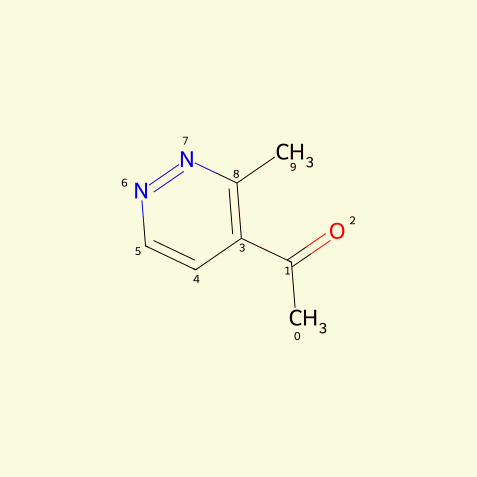 CC(=O)c1ccnnc1C